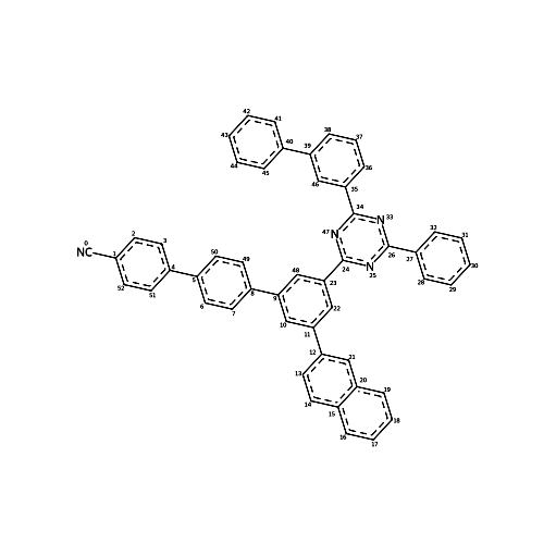 N#Cc1ccc(-c2ccc(-c3cc(-c4ccc5ccccc5c4)cc(-c4nc(-c5ccccc5)nc(-c5cccc(-c6ccccc6)c5)n4)c3)cc2)cc1